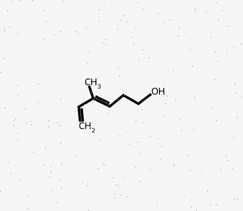 C=CC(C)=CCCO